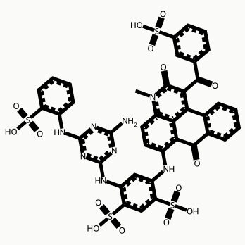 Cn1c(=O)c(C(=O)c2cccc(S(=O)(=O)O)c2)c2c3c(c(Nc4cc(Nc5nc(N)nc(Nc6ccccc6S(=O)(=O)O)n5)c(S(=O)(=O)O)cc4S(=O)(=O)O)ccc31)C(=O)c1ccccc1-2